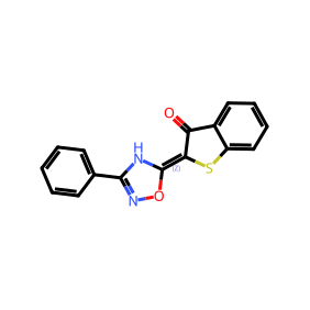 O=C1/C(=C2\NC(c3ccccc3)=NO2)Sc2ccccc21